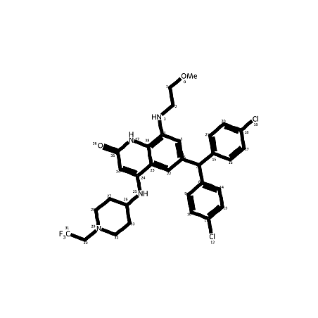 COCCNc1cc(C(c2ccc(Cl)cc2)c2ccc(Cl)cc2)cc2c(NC3CCN(CC(F)(F)F)CC3)cc(=O)[nH]c12